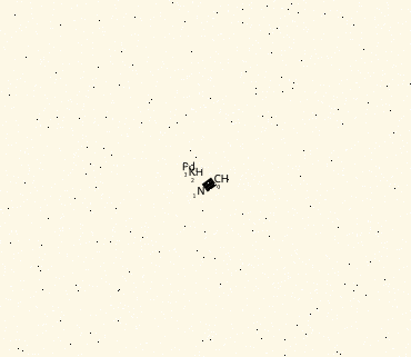 C#N.[KH].[Pd]